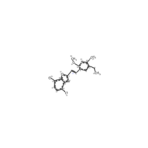 CCc1cc(/C=C/c2nc3c(Cl)ccc(Cl)c3o2)c(OC)nc1C